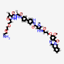 COc1cc2c(cc1OCCCC(=O)Nc1cc(C(=O)Nc3ccc(-c4ccc(NC(=O)[C@H](C)NC(=O)[C@@H](NC(=O)CCOCCOCCN)C(C)C)cc4)cc3)n(C)c1)N=CC1Cc3ccccc3CN1C2=O